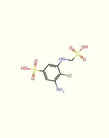 Nc1cc(S(=O)(=O)O)cc(NCS(=O)(=O)O)c1Cl